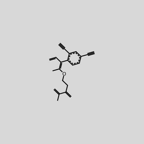 C#Cc1ccc(/C(C=C)=C(/C)OCCC(=C)C(=C)C)c(C#C)c1